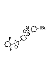 CC(C)(C)c1ccc(S(=O)(=O)Oc2ccc(C3COC(c4c(F)cccc4F)=N3)cc2)cc1